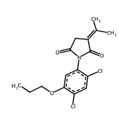 CCCOc1cc(N2C(=O)CC(=C(C)C)C2=O)c(Cl)cc1Cl